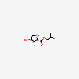 CC(C)COC(=O)[C@H]1NC[C@H](O)[C@H]1C